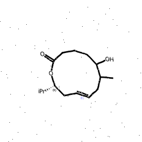 CC1C/C=C/C[C@H](C(C)C)OC(=O)CCCC1O